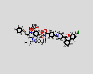 CN(CC[C@H](CSc1ccccc1)Nc1ccc(S(=O)(=O)NC(=O)c2ccc(N3CCC([C@@H](O)c4ccccc4-c4ccc(Cl)cc4)CC3)cc2)cc1S(=O)(=O)C(F)(F)F)C(=O)O